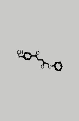 CSc1ccc(C(=O)CCC(=O)COc2ccccc2)cc1